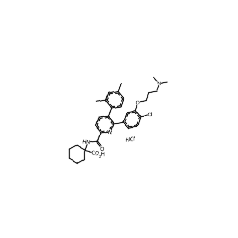 Cc1ccc(-c2ccc(C(=O)NC3(C(=O)O)CCCCC3)nc2-c2ccc(Cl)c(OCCCN(C)C)c2)c(C)c1.Cl